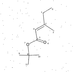 CC/C(C)=C/C(=O)OC(C)(C)C